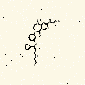 CCNc1ncc2c(n1)N(C)CCN(c1cccc(OC(CCNCCF)c3cccs3)c1)C2=O